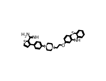 N=C(N)c1sccc1-c1ccc(N2CCN(CCOc3ccc4c(c3)Nc3ccccc3S4)CC2)cc1